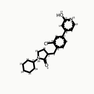 O=C1C(Cc2ccc(-c3ccnc(O)c3)cc2Cl)CCN1C1CCCCC1